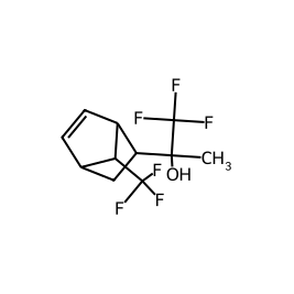 CC(O)(C1CC2C=CC1C2C(F)(F)F)C(F)(F)F